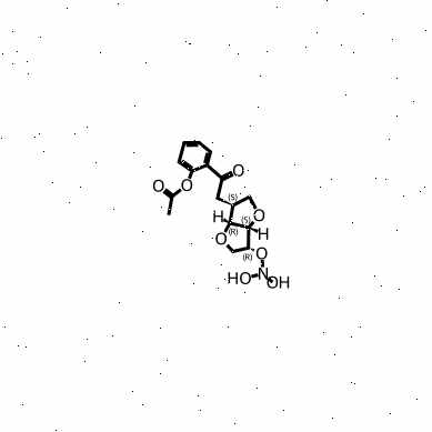 CC(=O)Oc1ccccc1C(=O)C[C@H]1CO[C@H]2[C@@H]1OC[C@H]2ON(O)O